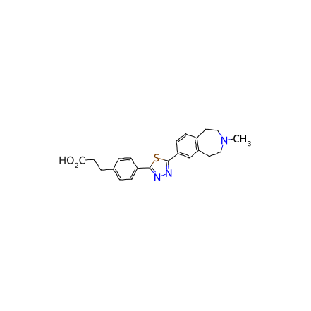 CN1CCc2ccc(-c3nnc(-c4ccc(CCC(=O)O)cc4)s3)cc2CC1